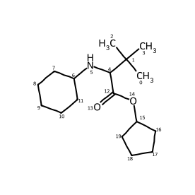 CC(C)(C)C(NC1CCCCC1)C(=O)OC1CCCC1